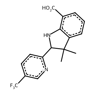 CC1(C)c2cccc(C(=O)O)c2NC1c1ccc(C(F)(F)F)cn1